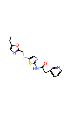 CCc1cnc(CSc2cnc(NC(=O)Cc3cccnc3)s2)o1